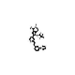 O=C1NCCc2c1cc(-c1ccnc(C=Cc3cccc(-n4cccc4)c3)c1)n2OC(=O)C(F)(F)F